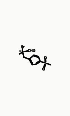 C[C@@](Br)(C=O)Cc1ccc(S(C)(=O)=O)cc1